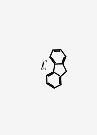 N#CO.c1ccc2c(c1)Cc1ccccc1-2